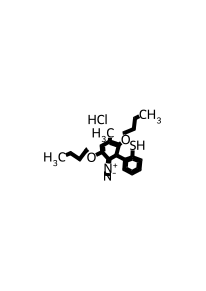 CCCCOC1=CC(C)=C(OCCCC)C(c2ccccc2S)C1=[N+]=[N-].Cl